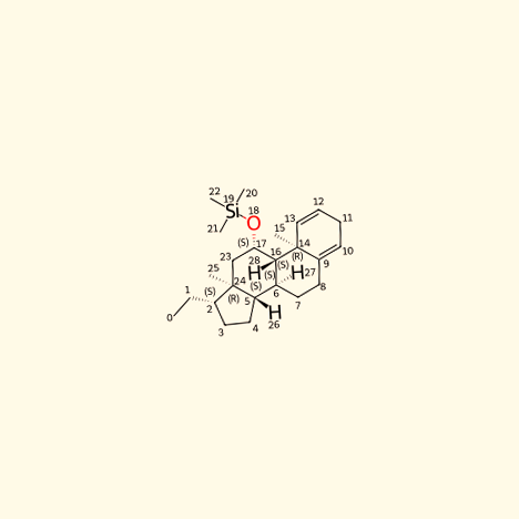 CC[C@H]1CC[C@H]2[C@@H]3CCC4=CCC=C[C@]4(C)[C@H]3[C@@H](O[Si](C)(C)C)C[C@]12C